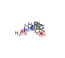 COC(=O)N1CCc2ccc3c(nc([C@H]4CC[C@H](C(=O)O)CC4)n3[C@@H](C)C(F)(F)c3ccccc3)c2C1